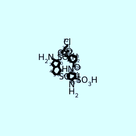 Nc1cc2ccc(S(=O)(=O)O)cc2cc1S(=O)(=O)O.Nc1ccc(NC(=O)c2cccc(CS(=O)(=O)CCCl)c2)cc1S(=O)(=O)O